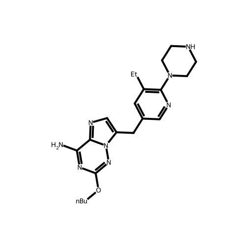 CCCCOc1nc(N)c2ncc(Cc3cnc(N4CCNCC4)c(CC)c3)n2n1